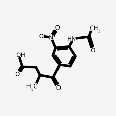 CC(=O)Nc1ccc(C(=O)C(C)CC(=O)O)cc1[N+](=O)[O-]